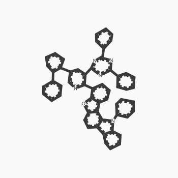 c1ccc(-c2nc(-c3ccccc3)nc(-c3cc(-c4ccccc4-c4ccccc4)cnc3-c3cccc4c3oc3ccc5c6ccccc6n(-c6ccccc6)c5c34)n2)cc1